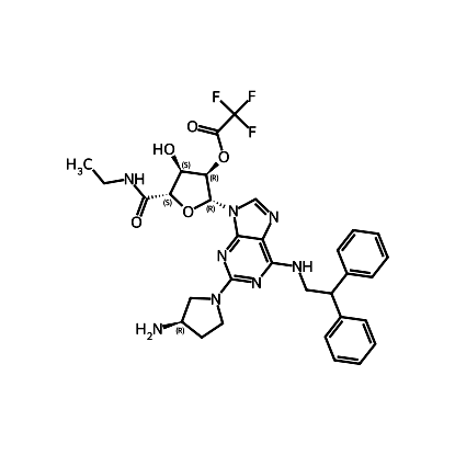 CCNC(=O)[C@H]1O[C@@H](n2cnc3c(NCC(c4ccccc4)c4ccccc4)nc(N4CC[C@@H](N)C4)nc32)[C@H](OC(=O)C(F)(F)F)[C@@H]1O